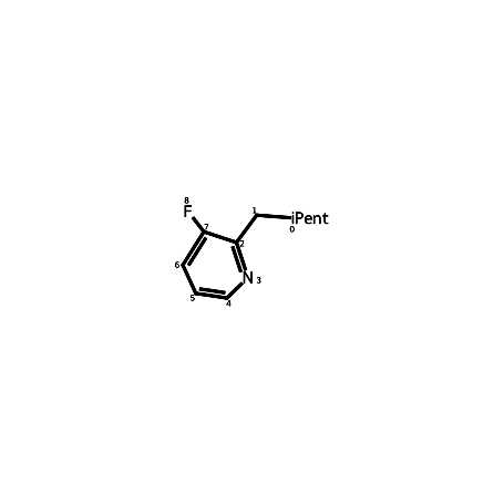 CCCC(C)Cc1ncccc1F